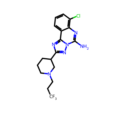 Nc1nc2c(Cl)cccc2c2nc(C3CCCN(CCC(F)(F)F)C3)nn12